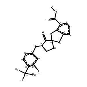 COC(=O)c1cccc2c1CC1(CCN(Cc3ccc(C(F)(F)F)c(F)c3)C1=O)C2